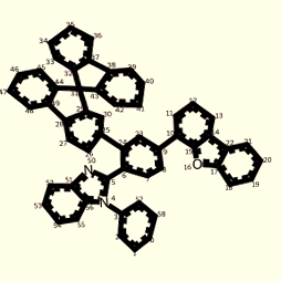 c1ccc(-n2c(-c3ccc(-c4cccc5c4oc4ccccc45)cc3-c3ccc4c(c3)C3(c5ccccc5-c5ccccc53)c3ccccc3-4)nc3ccccc32)cc1